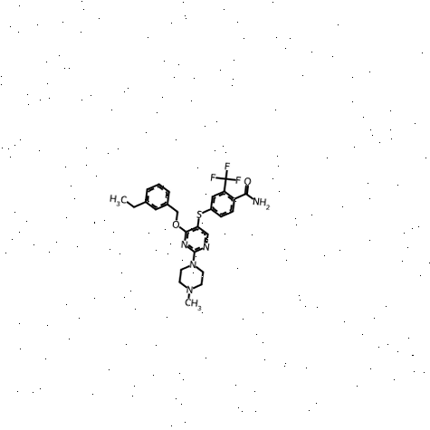 CCc1cccc(COc2nc(N3CCN(C)CC3)ncc2Sc2ccc(C(N)=O)c(C(F)(F)F)c2)c1